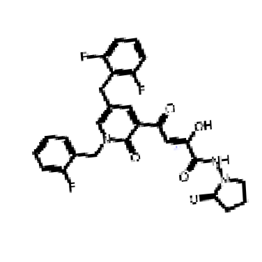 O=C(NN1CCCC1=O)/C(O)=C/C(=O)c1cc(Cc2c(F)cccc2F)cn(Cc2ccccc2F)c1=O